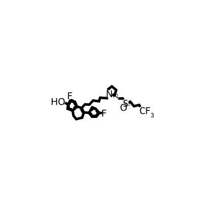 [O-][S+](CCCC(F)(F)F)CC[C@H]1CCCN1CCCCCCC1=C(c2ccc(F)cc2)CCCc2cc(O)c(F)cc21